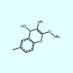 CCCCOC1=C(CCC)C(O)c2cc(I)ccc2O1